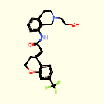 O=C(/C=C1\CCOc2cc(C(F)(F)F)ccc21)Nc1cccc2c1CN(CCO)CC2